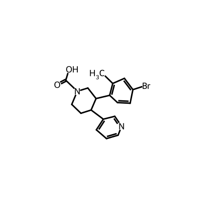 Cc1cc(Br)ccc1C1CN(C(=O)O)CCC1c1cccnc1